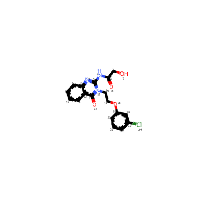 O=C(CO)Nc1nc2ccccc2c(=O)n1CCOc1cccc(Cl)c1